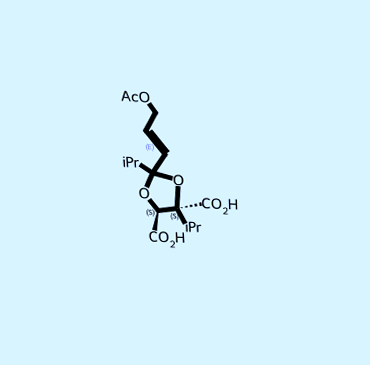 CC(=O)OC/C=C/C1(C(C)C)O[C@H](C(=O)O)[C@](C(=O)O)(C(C)C)O1